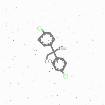 CC(C)(C)C(CC(=O)O)(c1ccc(Cl)cc1)c1ccc(Cl)cc1